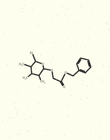 CCC1OC(OCC(=O)OCc2ccccc2)C(C)C(C)C1C